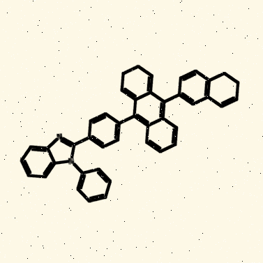 C1=Cc2cc(-c3c4c(c(-c5ccc(-c6nc7ccccc7n6-c6ccccc6)cc5)c5ccccc35)=CCCC=4)ccc2CC1